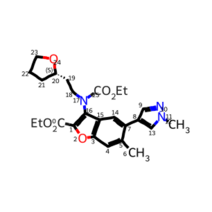 CCOC(=O)c1oc2cc(C)c(-c3cnn(C)c3)cc2c1N(CC[C@@H]1CCCO1)C(=O)OCC